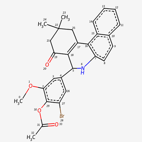 COc1cc(C2Nc3ccc4ccccc4c3C3=C2C(=O)CC(C)(C)C3)cc(Br)c1OC(C)=O